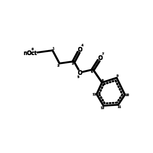 [CH2]CCCCCCCCCC(=O)OC(=O)c1ccccc1